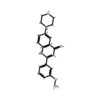 COc1cccc(-c2nc(=O)c3cc(N4CCOCC4)ccc3[nH]2)c1